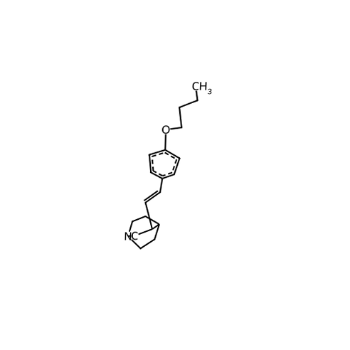 CCCCOc1ccc(/C=C/C2CN3CCC2CC3)cc1